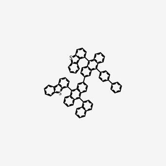 c1ccc(-c2ccc(-c3c4ccccc4c(-c4cccc5sc6ccccc6c45)c4ccc(-c5ccc6c(-c7cccc8ccccc78)c7ccccc7c(-c7cccc8c7sc7ccccc78)c6c5)cc34)cc2)cc1